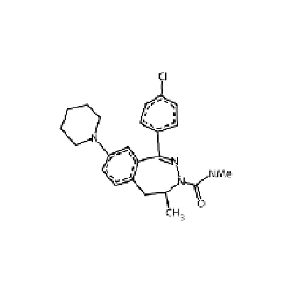 CNC(=O)N1N=C(c2ccc(Cl)cc2)c2cc(N3CCCCC3)ccc2CC1C